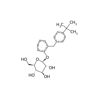 CC(C)(C)c1ccc(Cc2ccccc2O[C@@H]2O[C@H](CO)[C@@H](O)[C@H](O)[C@H]2O)cc1